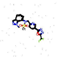 CCS(=O)(=O)N(Cc1ccc(-c2nnc(C(F)F)o2)cn1)c1cccc2cnn(C)c12